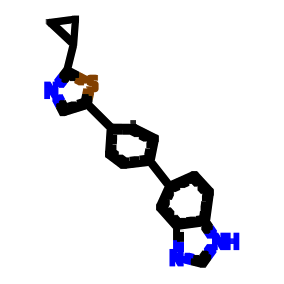 [c]1cc(-c2ccc3[nH]cnc3c2)ccc1-c1cnc(C2CC2)s1